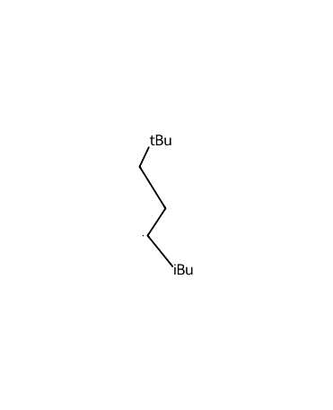 CCC(C)[CH]CCC(C)(C)C